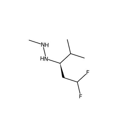 CNN[C@H](CC(F)F)C(C)C